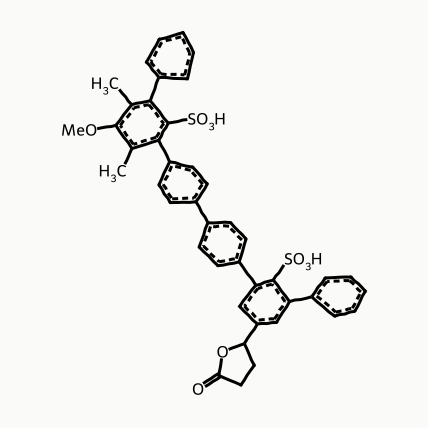 COc1c(C)c(-c2ccccc2)c(S(=O)(=O)O)c(-c2ccc(-c3ccc(-c4cc(C5CCC(=O)O5)cc(-c5ccccc5)c4S(=O)(=O)O)cc3)cc2)c1C